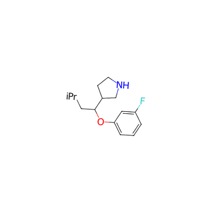 CC(C)CC(Oc1cccc(F)c1)C1CCNC1